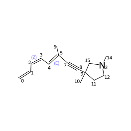 C=C/C=C\C=C(/C)C#CC1(C)CCN(C)C1